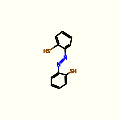 Sc1ccccc1/N=N/c1ccccc1S